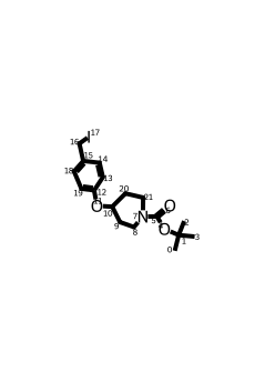 CC(C)(C)OC(=O)N1CCC(Oc2ccc(CI)cc2)CC1